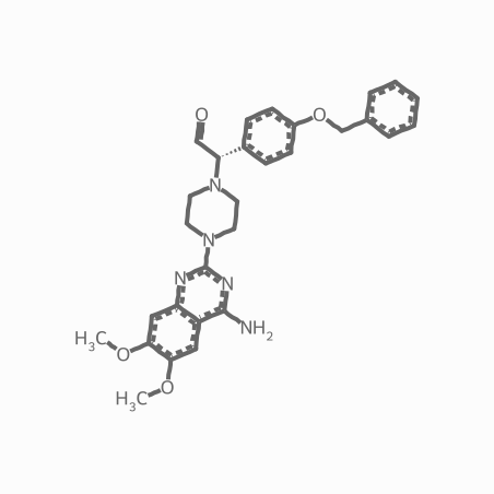 COc1cc2nc(N3CCN([C@H](C=O)c4ccc(OCc5ccccc5)cc4)CC3)nc(N)c2cc1OC